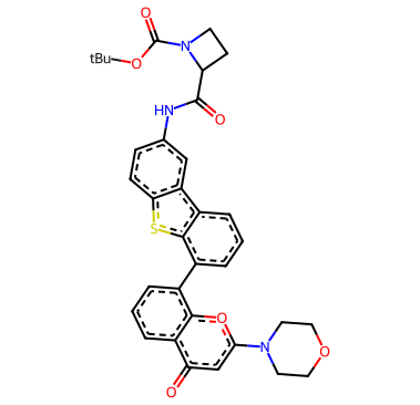 CC(C)(C)OC(=O)N1CCC1C(=O)Nc1ccc2sc3c(-c4cccc5c(=O)cc(N6CCOCC6)oc45)cccc3c2c1